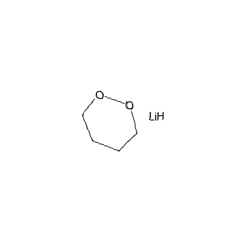 C1CCOOC1.[LiH]